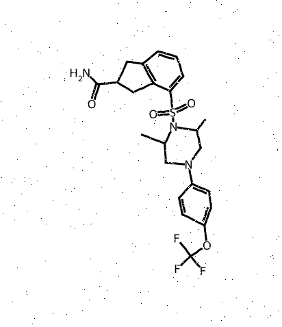 CC1CN(c2ccc(OC(F)(F)F)cc2)CC(C)N1S(=O)(=O)c1cccc2c1CC(C(N)=O)C2